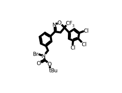 CC(C)(C)OC(=O)N(Br)Cc1cccc(C2=NOC(c3cc(Cl)c(Cl)c(Cl)c3)(C(F)(F)F)C2)c1